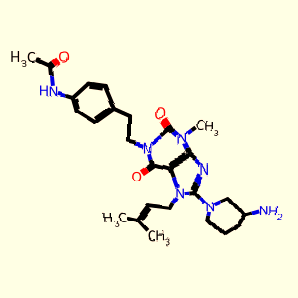 CC(=O)Nc1ccc(CCn2c(=O)c3c(nc(N4CCCC(N)C4)n3CC=C(C)C)n(C)c2=O)cc1